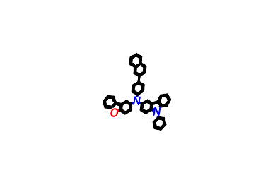 c1ccc(-n2c3ccccc3c3cc(N(c4ccc(-c5ccc6ccccc6c5)cc4)c4ccc5oc6ccccc6c5c4)ccc32)cc1